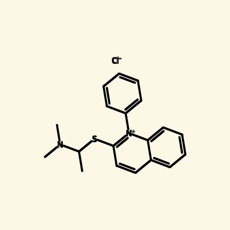 CC(Sc1ccc2ccccc2[n+]1-c1ccccc1)N(C)C.[Cl-]